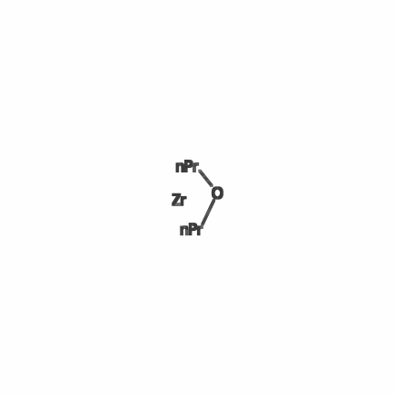 CCCOCCC.[Zr]